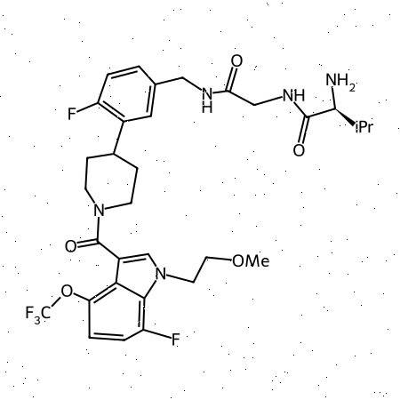 COCCn1cc(C(=O)N2CCC(c3cc(CNC(=O)CNC(=O)[C@@H](N)C(C)C)ccc3F)CC2)c2c(OC(F)(F)F)ccc(F)c21